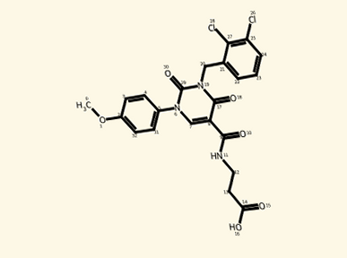 COc1ccc(-n2cc(C(=O)NCCC(=O)O)c(=O)n(Cc3cccc(Cl)c3Cl)c2=O)cc1